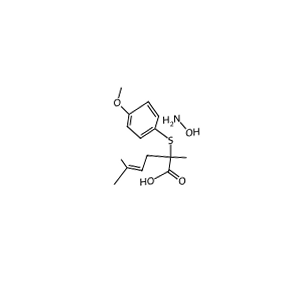 COc1ccc(SC(C)(CC=C(C)C)C(=O)O)cc1.NO